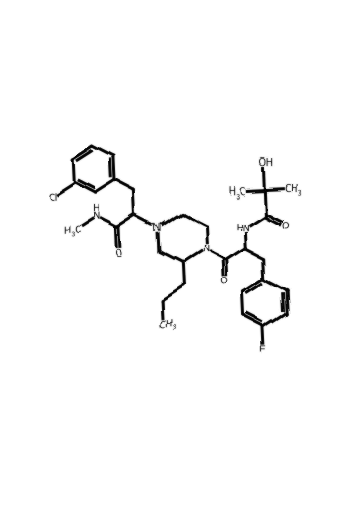 CCCC1CN(C(Cc2cccc(Cl)c2)C(=O)NC)CCN1C(=O)C(Cc1ccc(F)cc1)NC(=O)C(C)(C)O